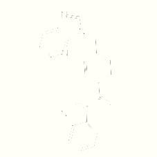 Cc1nc2cccnc2n1Cc1ccc(C(=O)c2c[nH]c3ccccc23)cc1